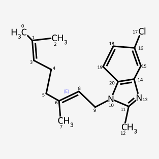 CC(C)=CCC/C(C)=C/Cn1c(C)nc2cc(Cl)ccc21